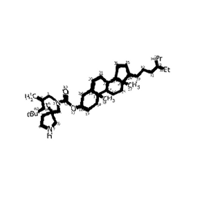 C=C(CN(CC1(CC)CCNC1)C(=O)OC1CCC2(C)C(=CCC3C2CCC2(C)C(CCCC(CC)C(C)C)CCC32)C1)CC(C)(C)C